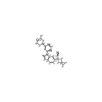 C[C@H]1CN(c2cc(-n3ncc4ccc(C5(C#N)CC6(CC6)C5)cc43)ncn2)CCO1